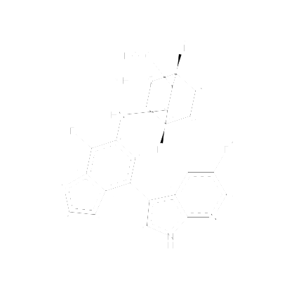 O=C(O)[C@@H]1C(Nc2cc(-c3c[nH]c4ncc(F)cc34)c3ccsc3c2F)[C@H]2CC[C@@H]1CC2